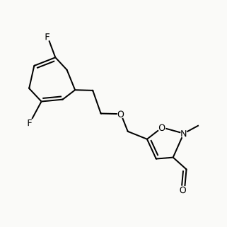 CN1OC(COCCC2C=C(F)CC=C(F)C2)=CC1C=O